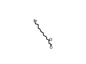 O=[C]CC(=O)CCCCCCCCCBr